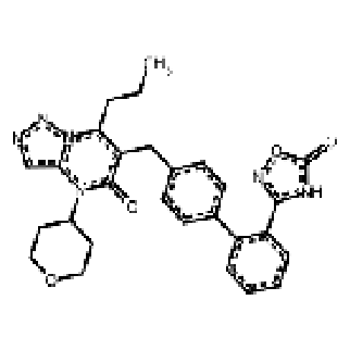 CCCc1c(Cc2ccc(-c3ccccc3-c3noc(=O)[nH]3)cc2)c(=O)n(C2CCOCC2)c2cnnn12